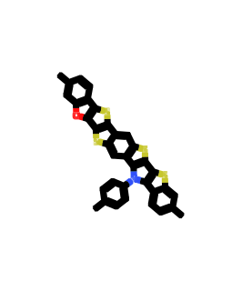 Cc1ccc(-n2c3c4ccc(C)cc4sc3c3sc4cc5c(cc4c32)sc2c3oc4cc(C)ccc4c3sc52)cc1